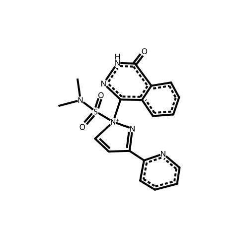 CN(C)S(=O)(=O)[N+]1(c2n[nH]c(=O)c3ccccc23)C=CC(c2ccccn2)=N1